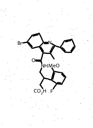 COc1cccc(F)c1C(CNC(=O)c1c(C)c(-c2ccccc2)nc2ccc(Br)cc12)CC(=O)O